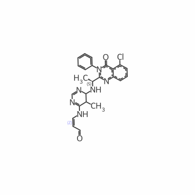 CC1C(N/C=C\C=O)=NC=NC1N[C@@H](C)c1nc2cccc(Cl)c2c(=O)n1C1=C=C=CC=C1